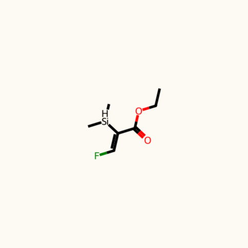 CCOC(=O)C(=CF)[SiH](C)C